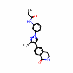 N#CCC(=O)Nc1cccc(-n2cc(-c3ccc4c(c3)CCNC4=O)c([N+](=O)[O-])n2)c1